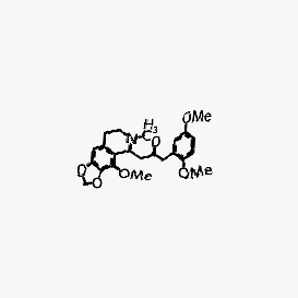 COc1ccc(OC)c(CC(=O)CC2c3c(cc4c(c3OC)OCO4)CCN2C)c1